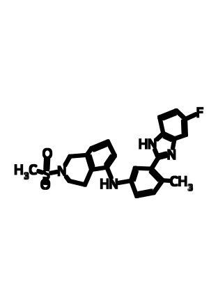 Cc1ccc(Nc2cccc3c2CCN(S(C)(=O)=O)C3)cc1-c1nc2cc(F)ccc2[nH]1